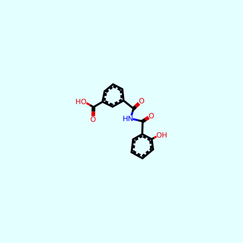 O=C(O)c1cccc(C(=O)NC(=O)c2ccccc2O)c1